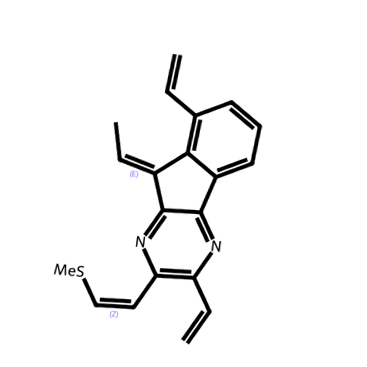 C=Cc1cccc2c1/C(=C\C)c1nc(/C=C\SC)c(C=C)nc1-2